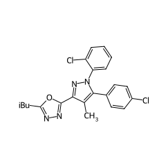 CCC(C)c1nnc(-c2nn(-c3ccccc3Cl)c(-c3ccc(Cl)cc3)c2C)o1